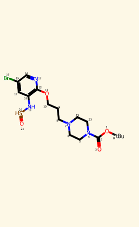 CC(C)(C)OC(=O)N1CCN(CCCOc2ncc(Br)cc2N[SH]=O)CC1